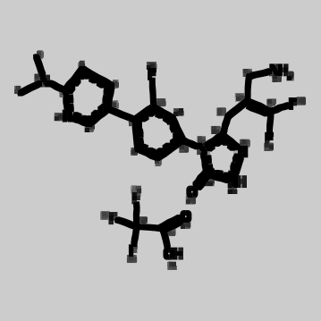 CN(C)c1ccc(-c2ccc(-n3c(CC(CN)=C(F)F)n[nH]c3=O)cc2F)cn1.O=C(O)C(F)(F)F